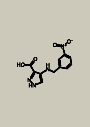 O=C(O)c1n[nH]cc1NCc1cccc([N+](=O)[O-])c1